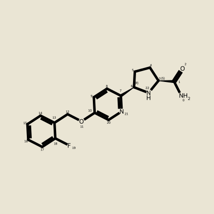 NC(=O)[C@@H]1CC[C@H](c2ccc(OCc3ccccc3F)cn2)N1